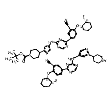 CC(C)(C)OC(=O)N1CCC(n2cc(Nc3ncnc(-c4ccc(O[C@H]5CCCC[C@H]5F)c(C#N)c4)n3)cn2)CC1.N#Cc1cc(-c2ncnc(Nc3cnn(C4CCNCC4)c3)n2)ccc1O[C@H]1CCCC[C@H]1F